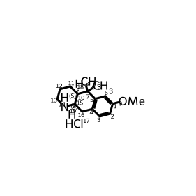 COc1ccc2c(c1)C(C)(C)[C@@H]1CCCN[C@@H]1C2.Cl